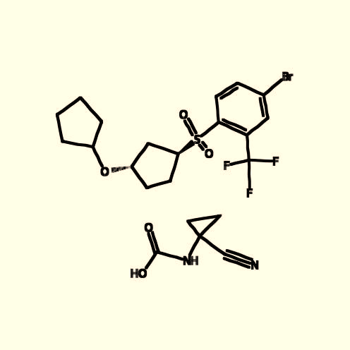 N#CC1(NC(=O)O)CC1.O=S(=O)(c1ccc(Br)cc1C(F)(F)F)[C@H]1CC[C@H](OC2CCCC2)C1